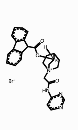 O=C(C[N+]12CCC(CC1)[C@@H](OC(=O)C1c3ccccc3-c3ccccc31)C2)Nc1ccncn1.[Br-]